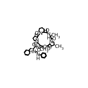 CC1NC(=O)[C@@H]2CCCCN2C(=O)[C@@H]2CCCN2C(=O)[C@@H](NC(=O)[C@H](CC2C=CC=CC2)NC(=O)Nc2ccccc2)[C@H](C)OC(=O)[C@@H]2C[C@@H](C)CN2C1=O